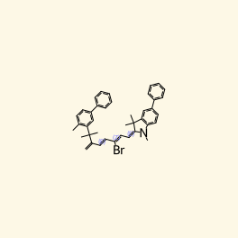 C=C(/C=C/C(Br)=C/C=C1/N(C)c2ccc(-c3ccccc3)cc2C1(C)C)C(C)(C)c1cc(-c2ccccc2)ccc1C